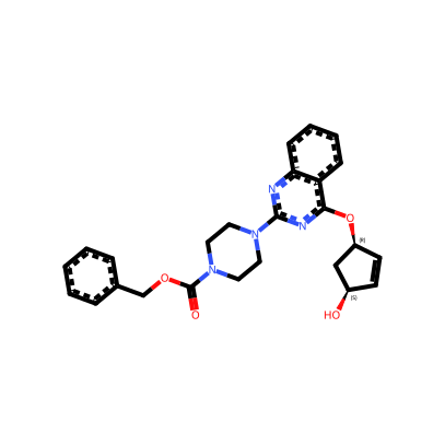 O=C(OCc1ccccc1)N1CCN(c2nc(O[C@H]3C=C[C@@H](O)C3)c3ccccc3n2)CC1